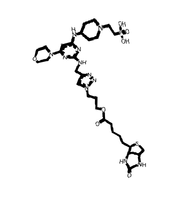 O=C1NC2CSC(CCCCC(=O)OCCCn3cc(CNc4nc(NC5CCN(CCP(=O)(O)O)CC5)cc(N5CCOCC5)n4)nn3)C2N1